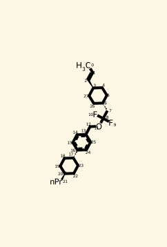 CC=C[C@H]1CC[C@H](CC(F)(F)OCc2ccc([C@H]3CC[C@H](CCC)CC3)cc2)CC1